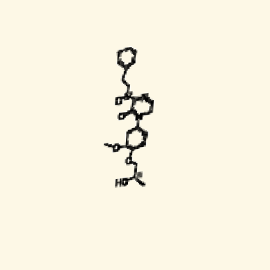 COc1cc(-n2ccnc([S+]([O-])CCc3ccccc3)c2=O)ccc1OC[C@@H](C)O